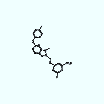 Cc1ccc(Oc2ccc3nc(COc4cc(F)cc(C(=O)O)c4)n(C)c3n2)cc1